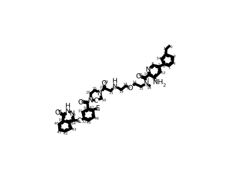 CCc1cccc(-c2cnc(C(=O)N(C)CCOCCNCC(=O)N3CCN(C(=O)c4cc(Cc5n[nH]c(=O)c6ccccc56)ccc4F)CC3)c(N)c2)c1